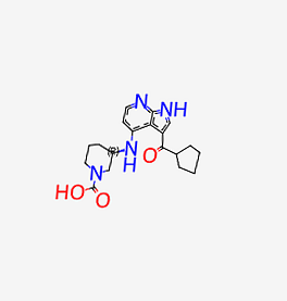 O=C(c1c[nH]c2nccc(N[C@@H]3CCCN(C(=O)O)C3)c12)C1CCCC1